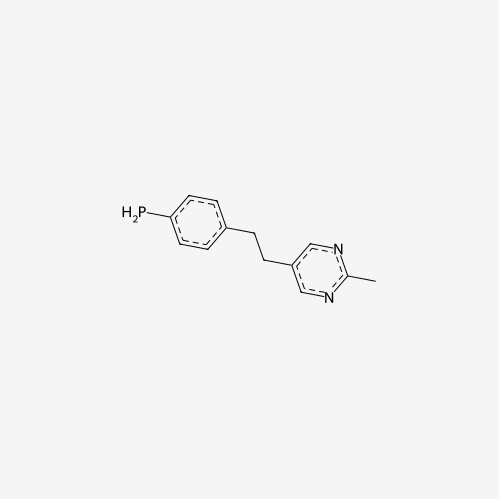 Cc1ncc(CCc2ccc(P)cc2)cn1